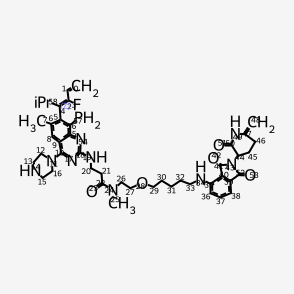 C=C/C(F)=C(/c1c(C)cc2c(N3CCNCC3)nc(NCCC(=O)N(C)CCOCCCCCNc3cccc4c3C(=O)N(C3CCC(=C)NC3=O)C4=O)nc2c1P)C(C)C